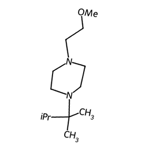 COCCN1CCN(C(C)(C)C(C)C)CC1